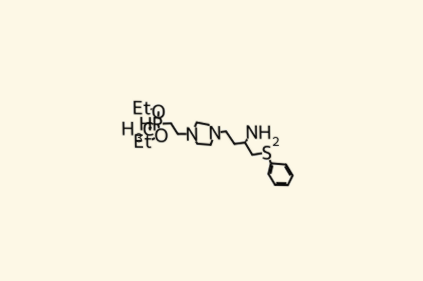 CCO[PH](C)(CCN1CCN(CC[C@@H](N)CSc2ccccc2)CC1)OCC